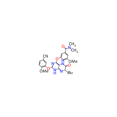 CCC(C)C1N=C2NC(Oc3cc(C#N)ccc3OC)=NC(Oc3cc(OC)cc(C(=O)N(C)C)c3)=C2NC1=O